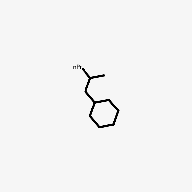 [CH2]CCC(C)CC1CCCCC1